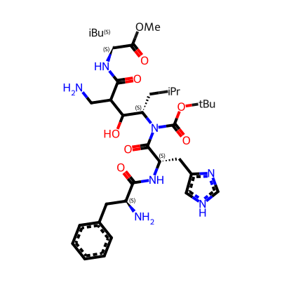 CC[C@H](C)[C@H](NC(=O)C(CN)C(O)[C@H](CC(C)C)N(C(=O)OC(C)(C)C)C(=O)[C@H](Cc1c[nH]cn1)NC(=O)[C@@H](N)Cc1ccccc1)C(=O)OC